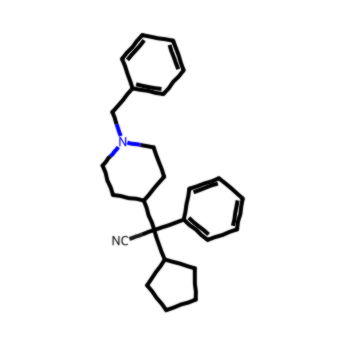 N#CC(c1ccccc1)(C1CCCC1)C1CCN(Cc2ccccc2)CC1